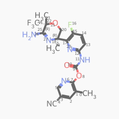 Cc1cc(C#N)cnc1OC(=O)Nc1ccc(F)c([C@]2(C)CO[C@@](C)(C(F)(F)F)C(N)=N2)n1